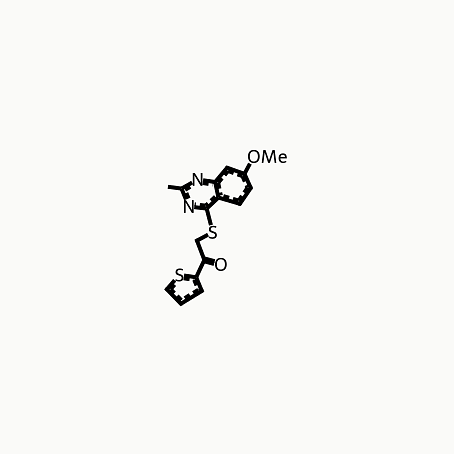 COc1ccc2c(SCC(=O)c3cccs3)nc(C)nc2c1